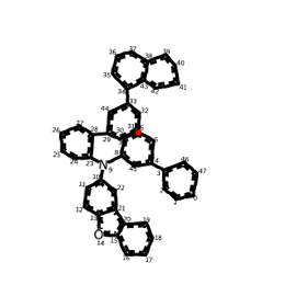 c1ccc(-c2cccc(N(c3ccc4oc5ccccc5c4c3)c3ccccc3-c3cccc(-c4cccc5ccccc45)c3)c2)cc1